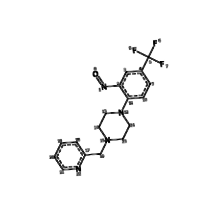 O=Nc1cc(C(F)(F)F)ccc1N1CCN(Cc2ccccn2)CC1